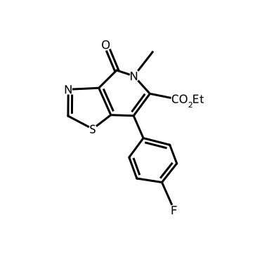 CCOC(=O)c1c(-c2ccc(F)cc2)c2scnc2c(=O)n1C